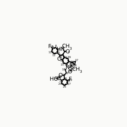 CNC(=O)c1c(-c2ccc(F)cc2)oc2cc(N(CCC3OB(O)c4cccc(F)c43)S(C)(=O)=O)c(C3CC3)cc12